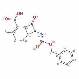 CC1=C(C(=O)O)N2C(=O)C(NC(=O)OCc3ccccc3)C2SC1